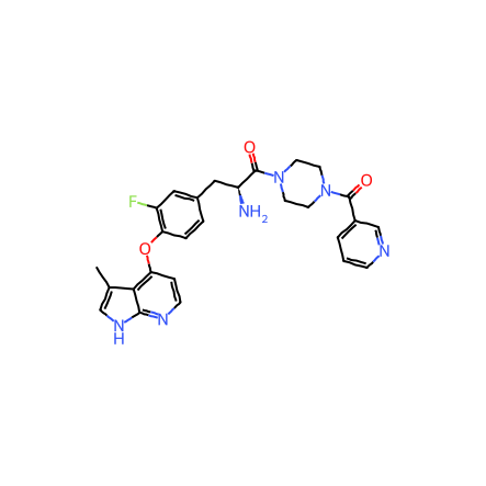 Cc1c[nH]c2nccc(Oc3ccc(C[C@H](N)C(=O)N4CCN(C(=O)c5cccnc5)CC4)cc3F)c12